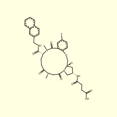 CN1CC(=O)N2C[C@@H](NC(=O)CCC(=O)O)C[C@H]2COc2ccc(F)cc2C(=O)N(C)[C@@H](C(=O)NCc2ccc3ccccc3c2)CCC1=O